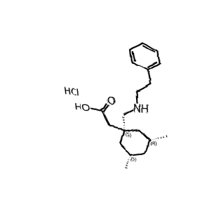 C[C@@H]1C[C@H](C)C[C@@](CNCCc2ccccc2)(CC(=O)O)C1.Cl